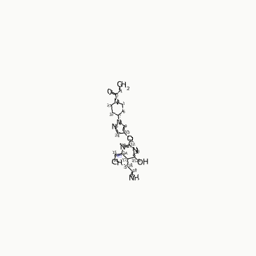 C=CC(=O)N1CCC(n2cc(OC3=N/C(=C/C)C(CC=N)C(O)=N3)cn2)CC1